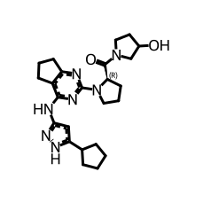 O=C([C@H]1CCCN1c1nc2c(c(Nc3cc(C4CCCC4)[nH]n3)n1)CCC2)N1CCC(O)C1